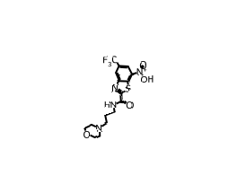 O=C(NCCCN1CCOCC1)c1nc2cc(C(F)(F)F)cc([N+](=O)O)c2s1